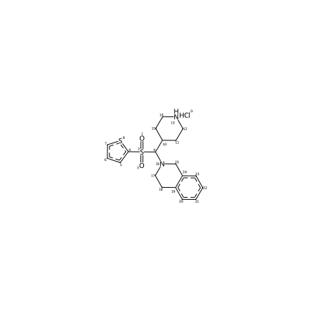 Cl.O=S(=O)(c1cccs1)C(C1CCNCC1)N1CCc2ccccc2C1